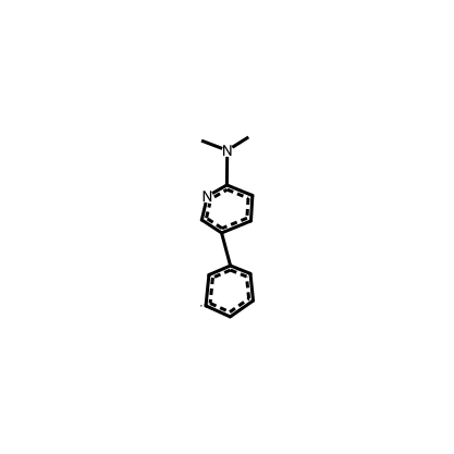 CN(C)c1ccc(-c2c[c]ccc2)cn1